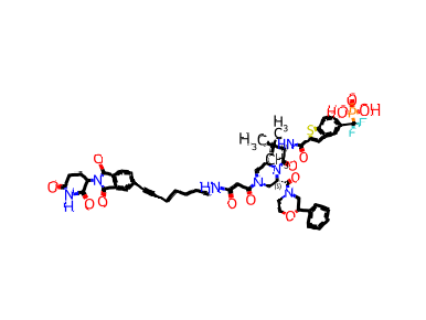 CC(C)(C)[C@H](NC(=O)c1cc2cc(C(F)(F)P(=O)(O)O)ccc2s1)C(=O)N1CCN(C(=O)CC(=O)NCCCCCC#Cc2ccc3c(c2)C(=O)N(C2CCC(=O)NC2=O)C3=O)C[C@H]1C(=O)N1CCOC(c2ccccc2)C1